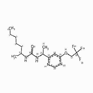 CCCCCC(C)NC(=O)NC(C)c1cc(OCC(F)(F)F)ncn1